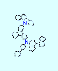 C1=CCCC(c2cc(N(c3ccc(-c4ccccc4)cc3)c3ccc(-c4cccc5ccccc45)c4ccccc34)ccc2-c2cccc(-n3c4ccccc4c4ccc5ccccc5c43)c2)=C1